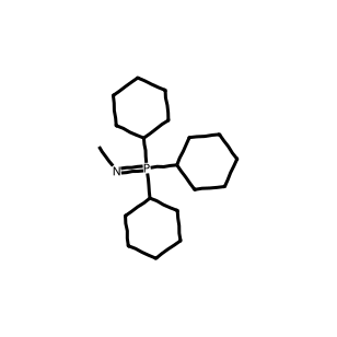 CN=P(C1CCCCC1)(C1CCCCC1)C1CCCCC1